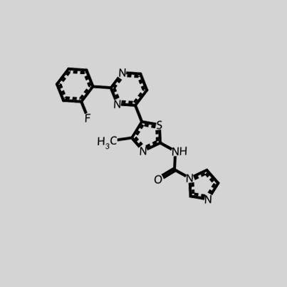 Cc1nc(NC(=O)n2ccnc2)sc1-c1ccnc(-c2ccccc2F)n1